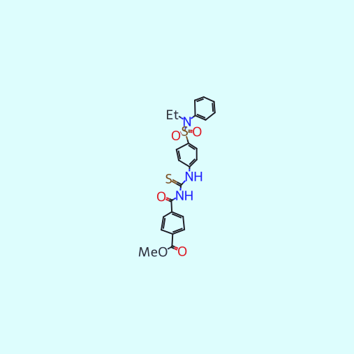 CCN(c1ccccc1)S(=O)(=O)c1ccc(NC(=S)NC(=O)c2ccc(C(=O)OC)cc2)cc1